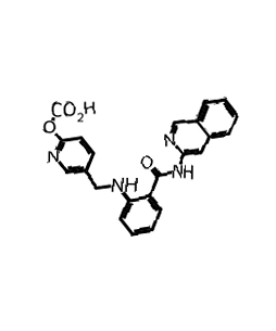 O=C(O)Oc1ccc(CNc2ccccc2C(=O)Nc2cc3ccccc3cn2)cn1